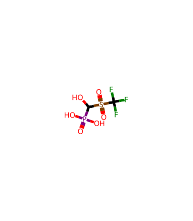 O=P(O)(O)C(O)S(=O)(=O)C(F)(F)F